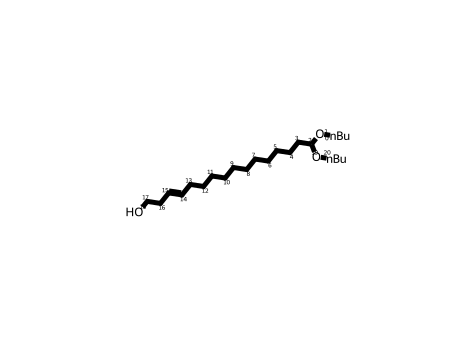 CCCCOC(CCCCCCCCCCC/C=C/CCO)OCCCC